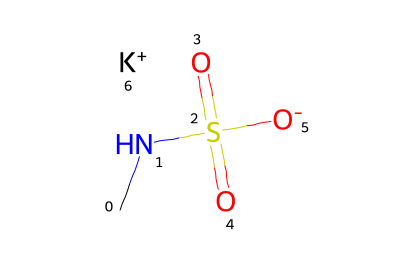 CNS(=O)(=O)[O-].[K+]